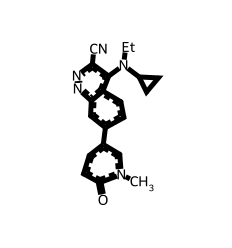 CCN(c1c(C#N)nnc2cc(-c3ccc(=O)n(C)c3)ccc12)C1CC1